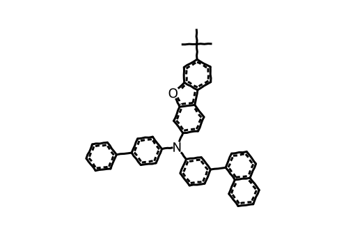 CC(C)(C)c1ccc2c(c1)oc1cc(N(c3ccc(-c4ccccc4)cc3)c3cccc(-c4cccc5ccccc45)c3)ccc12